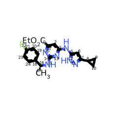 CCOC(=O)c1cc(Nc2cc(C3CC3)n[nH]2)nc(N[C@@H](C)c2ccc(F)cc2)n1